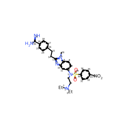 CCN(CC)CCN(c1ccc2c(c1)nc(CCc1ccc(C(=N)N)cc1)n2C)S(=O)(=O)c1ccc([N+](=O)[O-])cc1